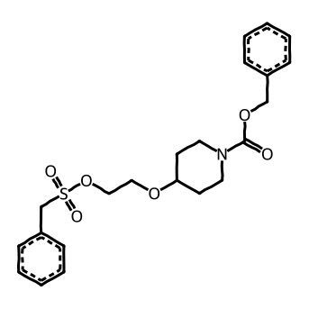 O=C(OCc1ccccc1)N1CCC(OCCOS(=O)(=O)Cc2ccccc2)CC1